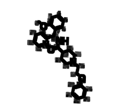 COc1ccccc1[C@H](NC(=O)C1CCN(CCOc2ccccc2)CC1)c1ccccn1